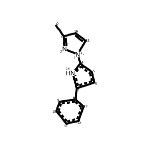 CC1=N[N+](c2ccc(-c3ccccc3)[nH]2)C=C1